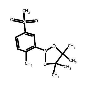 Cc1ccc(S(C)(=O)=O)cc1B1OC(C)(C)C(C)(C)O1